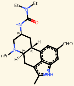 CCCN1C[C@@H](NC(=O)N(CC)CC)C[C@@H]2c3cc(C=O)cc4[nH]c(C)c(c34)C[C@H]21